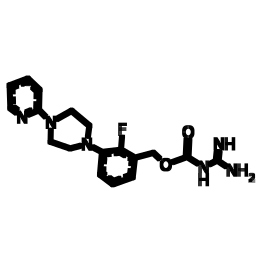 N=C(N)NC(=O)OCc1cccc(N2CCN(c3ccccn3)CC2)c1F